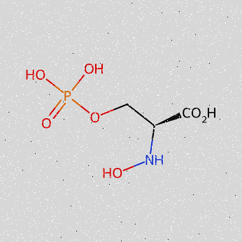 O=C(O)[C@H](COP(=O)(O)O)NO